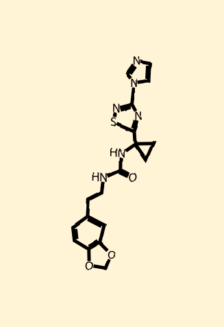 O=C(NCCc1ccc2c(c1)OCO2)NC1(c2nc(-n3ccnc3)ns2)CC1